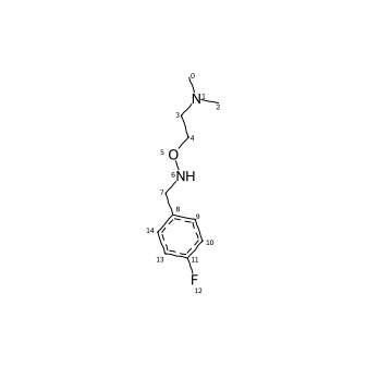 CN(C)CCONCc1ccc(F)cc1